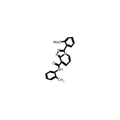 COc1ccccc1-c1nnc2c(C(=O)Nc3ccccc3C)cccn12